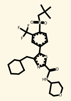 CC(C)(C)CS(=O)(=O)c1ccc(-c2sc(C(=O)NC3CCOCC3)nc2CC2CCCCC2)cc1C(F)(F)F